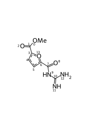 COC(=O)c1ccc(C(=O)NC(=N)N)o1